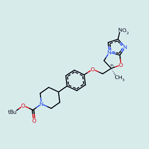 CC(C)(C)OC(=O)N1CCC(c2ccc(OC[C@@]3(C)Cn4cc([N+](=O)[O-])nc4O3)cc2)CC1